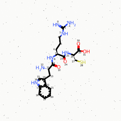 N=C(N)NCCC[C@H](NC(=O)[C@@H](N)Cc1c[nH]c2ccccc12)C(=O)N[C@@H](CS)C(=O)O